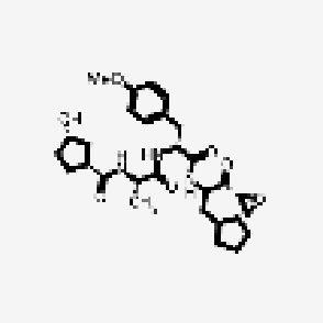 COc1ccc(C[C@H](NC(=O)[C@@H](C)NC(=O)[C@H]2CC[C@H](O)C2)C(=O)NC(CC2CCCC2)C(=O)[C@H]2CO2)cc1